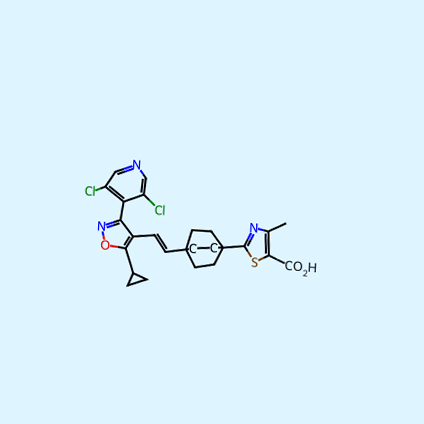 Cc1nc(C23CCC(/C=C/c4c(-c5c(Cl)cncc5Cl)noc4C4CC4)(CC2)CC3)sc1C(=O)O